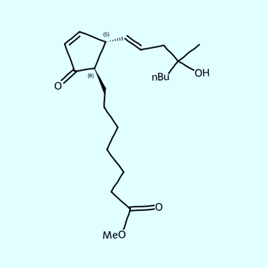 CCCCC(C)(O)CC=C[C@H]1C=CC(=O)[C@@H]1CCCCCCC(=O)OC